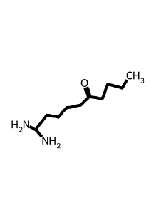 CCCCC(=O)CCCCC(N)N